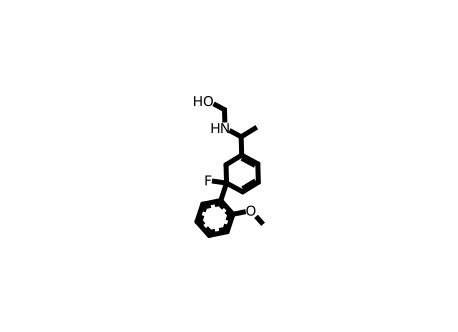 COc1ccccc1C1(F)C=CC=C(C(C)NCO)C1